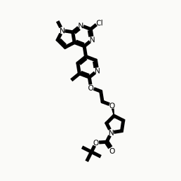 Cc1cc(-c2nc(Cl)nc3c2ccn3C)cnc1OCCO[C@H]1CCN(C(=O)OC(C)(C)C)C1